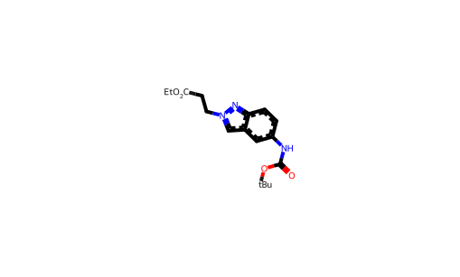 CCOC(=O)CCn1cc2cc(NC(=O)OC(C)(C)C)ccc2n1